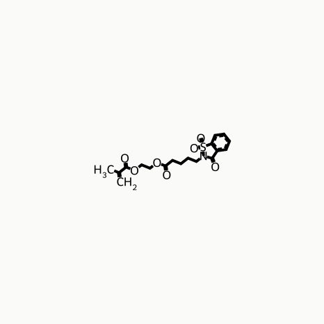 C=C(C)C(=O)OCCOC(=O)CCCCN1C(=O)c2ccccc2S1(=O)=O